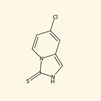 S=c1[nH]cc2cc(Cl)ccn12